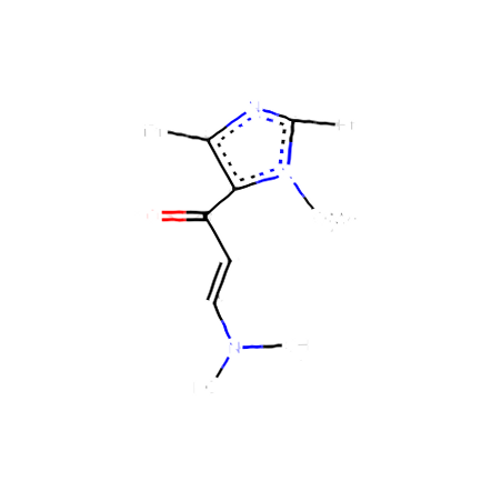 CCc1nc(C(C)C)c(C(=O)C=CN(C)C)n1OC